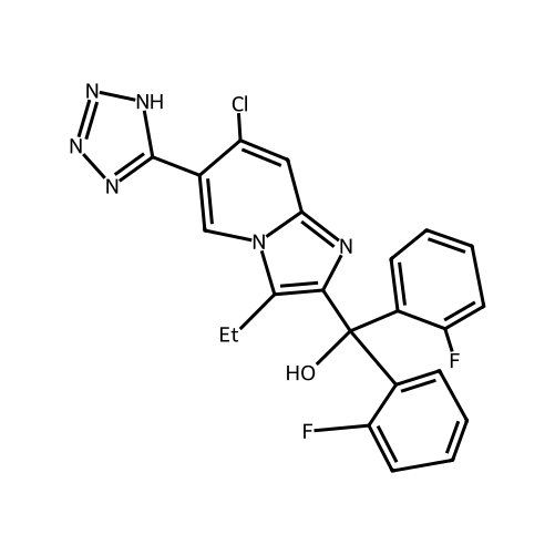 CCc1c(C(O)(c2ccccc2F)c2ccccc2F)nc2cc(Cl)c(-c3nnn[nH]3)cn12